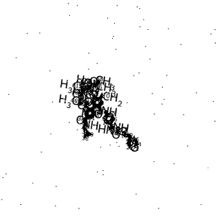 C=Cc1cc(C(=O)Nc2ccc(C(=N)NC(=O)OCCN3CCOCC3)cc2)c(-c2ccc(C(=O)NCC3CC3)nc2C(=O)OC(C)OC(=O)[C@@H](NC(=O)OC(C)(C)C)C(C)C)cc1OC